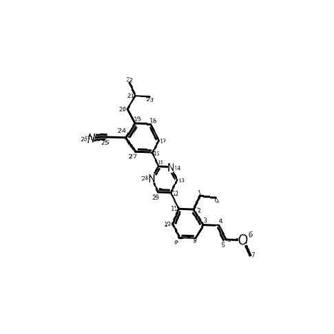 CCc1c(/C=C/OC)cccc1-c1cnc(-c2ccc(CC(C)C)c(C#N)c2)nc1